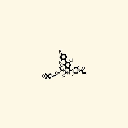 C=CC(=O)N1C[C@H](C)N(c2nc(=O)n3c4c(c(-c5ccc(F)cc5F)c(Cl)cc24)OC[C@H]3COCN2CC3(COC3)C2)C[C@H]1C